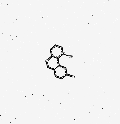 O=c1ccc2coc3cccc(O)c3c-2c1